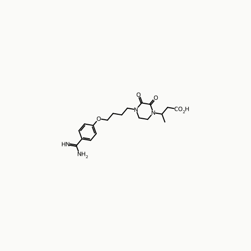 CC(CC(=O)O)N1CCN(CCCCOc2ccc(C(=N)N)cc2)C(=O)C1=O